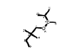 CCC(C)(C)COB(C)C(C)C